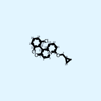 O=c1ccn2c(OCC3CC3)cccc2c1-c1c(Cl)cccc1Cl